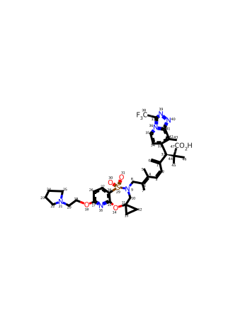 C=C(/C=C\C(C)=C(/C)CN1CC2(CC2)Oc2nc(OCCN3CCCC3)ccc2S1(=O)=O)[C@@H](c1ccn2c(C(F)(F)F)nnc2c1C)C(C)(C)C(=O)O